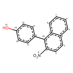 O=[N+]([O-])c1ccc2ccccc2c1-c1ccc(O)cc1